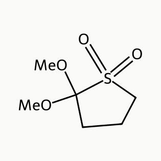 COC1(OC)CCCS1(=O)=O